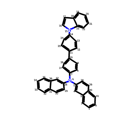 c1ccc2cc(N(c3ccc(-c4ccc(-n5ccc6ccccc65)cc4)cc3)c3ccc4ccccc4c3)ccc2c1